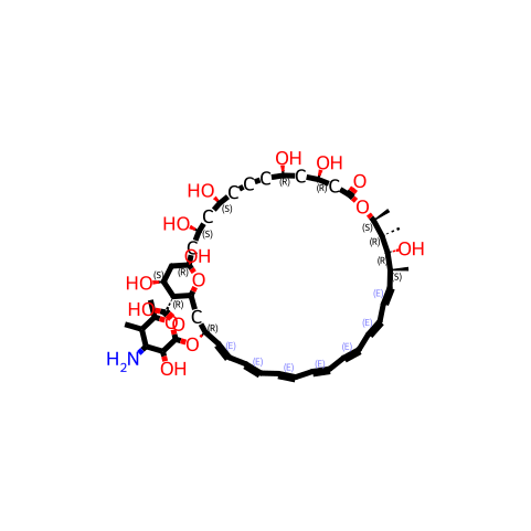 CC1OC(O[C@H]2/C=C/C=C/C=C/C=C/C=C/C=C/C=C/[C@H](C)[C@@H](O)[C@@H](C)[C@H](C)OC(=O)C[C@H](O)C[C@H](O)CCC[C@H](O)C[C@H](O)C[C@]3(O)C[C@H](O)[C@@H](C(=O)O)C(C2)O3)C(O)C(N)C1C